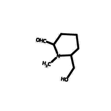 CN1C(C=O)CCCC1CO